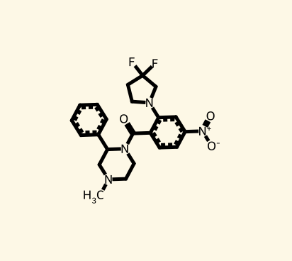 CN1CCN(C(=O)c2ccc([N+](=O)[O-])cc2N2CCC(F)(F)C2)C(c2ccccc2)C1